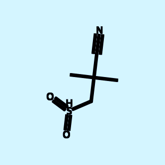 CC(C)(C#N)C[SH](=O)=O